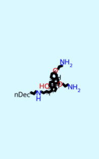 CCCCCCCCCCCCCNCCC[C@@H](C)[C@H]1CC[C@H]2[C@@H]3[C@H](OCCCN)C[C@@H]4C[C@H](OCCCN)CC[C@]4(C)[C@H]3C[C@H](O)[C@]12C